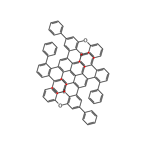 c1ccc(-c2cc3c4c(c2)-c2cc(-c5c(-c6ccccc6)cccc5-c5ccccc5)c5cc6c7c(cc(-c8c(-c9ccccc9)cccc8-c8ccccc8)c8cc(c2c5c87)B4c2ccccc2O3)-c2cc(-c3ccccc3)cc3c2B6c2ccccc2O3)cc1